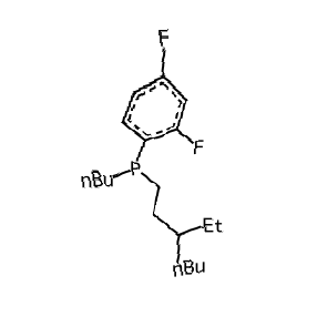 CCCCC(CC)CCP(CCCC)c1ccc(F)cc1F